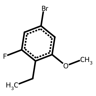 CCc1c(F)cc(Br)cc1OC